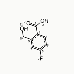 O=C(O)c1ccc(F)cc1CO